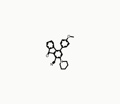 COc1ccc(-c2cc(N3CCCCC3)c(C#N)c3c2-c2ccccc2C3=O)cc1